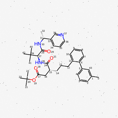 Cc1cccc(-c2ccccc2CCC[C@H](CC(=O)OC(C)(C)C)C(=O)N[C@H](C(=O)N[C@H](C)c2cccnc2)C(C)(C)C)c1